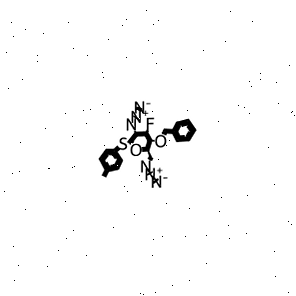 Cc1ccc(S[C@H]2O[C@H](CN=[N+]=[N-])[C@@H](OCc3ccccc3)[C@H](F)[C@H]2N=[N+]=[N-])cc1